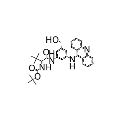 CC(C)(C)OC(=O)NC(C(=O)Nc1cc(CO)cc(Nc2c3ccccc3nc3ccccc23)c1)C(C)(C)C